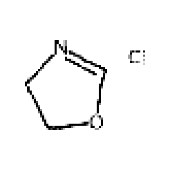 C1=NCCO1.[C]